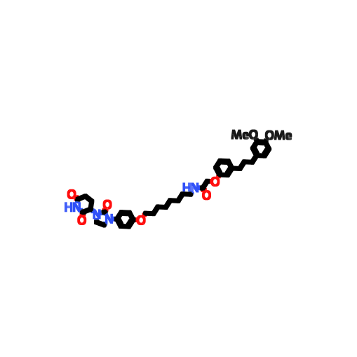 COc1ccc(CCCc2cccc(OCC(=O)NCCCCCCCCOc3ccc(N4CCN(C5CCC(=O)NC5=O)C4=O)cc3)c2)cc1OC